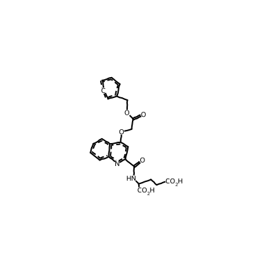 O=C(O)CCC(NC(=O)c1cc(OCC(=O)OCc2ccccc2)c2ccccc2n1)C(=O)O